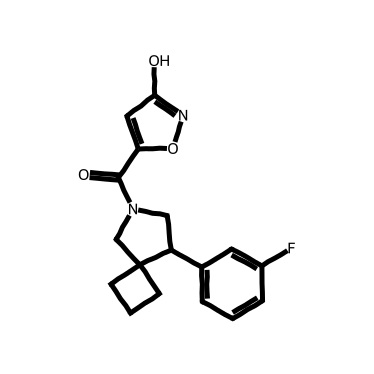 O=C(c1cc(O)no1)N1CC(c2cccc(F)c2)C2(CCC2)C1